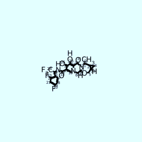 C[C@@H]1C2C[C@@H]2CO[C@@H]2Cn3cc(C(=O)N[C@@H](c4ccc(F)cc4F)C(F)(F)F)c(=O)c(O)c3C(=O)N12